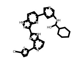 OC(Nc1cncc(-c2ccc3[nH]nc(-c4nc5c(-c6ccc(Cl)s6)nccc5[nH]4)c3n2)c1)C1CCCCC1